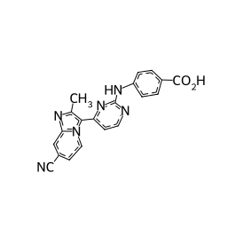 Cc1nc2cc(C#N)ccn2c1-c1ccnc(Nc2ccc(C(=O)O)cc2)n1